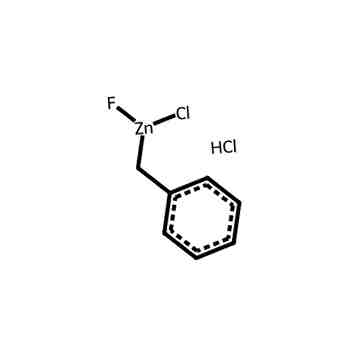 Cl.[F][Zn]([Cl])[CH2]c1ccccc1